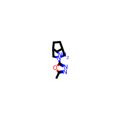 Cc1nnc(N2CC3CCC(C2)C3N)o1